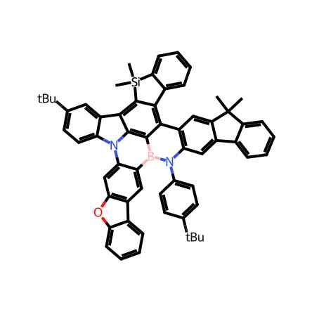 CC(C)(C)c1ccc(N2B3c4cc5c(cc4-n4c6ccc(C(C)(C)C)cc6c6c7c(c(c3c64)-c3cc4c(cc32)-c2ccccc2C4(C)C)-c2ccccc2[Si]7(C)C)oc2ccccc25)cc1